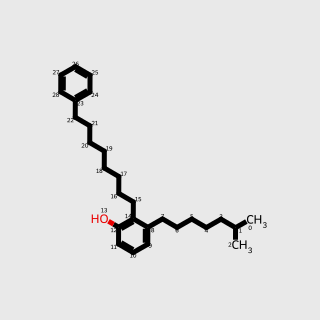 CC(C)CCCCCc1cccc(O)c1CCCCCCCCc1ccccc1